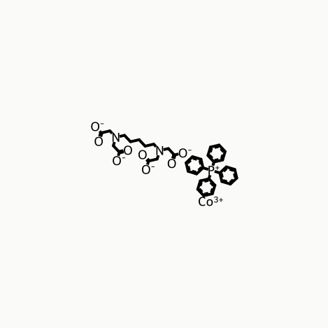 O=C([O-])CN(CCCCCN(CC(=O)[O-])CC(=O)[O-])CC(=O)[O-].[Co+3].c1ccc([P+](c2ccccc2)(c2ccccc2)c2ccccc2)cc1